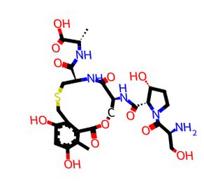 Cc1c(O)cc(O)c2c1C(=O)OC[C@H](NC(=O)[C@@H]1[C@H](O)CCN1C(=O)[C@@H](N)CO)C(=O)N[C@H](C(=O)N[C@@H](C)C(=O)O)CSC2